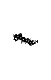 O=C1Nc2ncccc2C12Cc1cc3c(cc1C2)NC(C1=NOC2(CCNC2)C1)N3